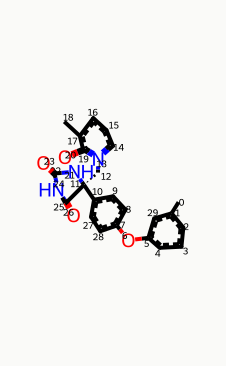 Cc1cccc(Oc2ccc([C@]3(Cn4cccc(C)c4=O)NC(=O)NC3=O)cc2)c1